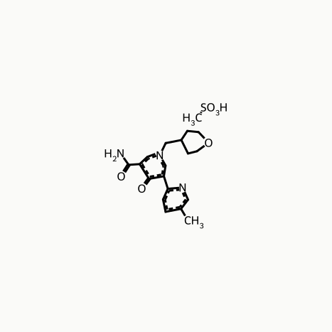 CS(=O)(=O)O.Cc1ccc(-c2cn(CC3CCOCC3)cc(C(N)=O)c2=O)nc1